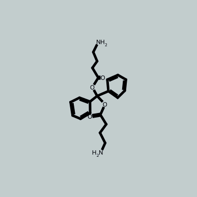 NCCCC(=O)OC(OC(=O)CCCN)(c1ccccc1)c1ccccc1